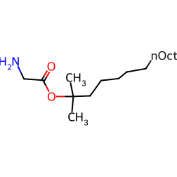 CCCCCCCCCCCCCC(C)(C)OC(=O)CN